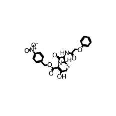 O=C(COc1ccccc1)N[C@@H]1C(=O)N2C(C(=O)OCc3ccc([N+](=O)[O-])cc3)=C(O)CS[C@H]12